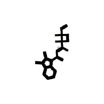 C=NC1(C)C=CC1(C)/C(C)=C/C(=C)n1c(=C)c(=C)c2ccccc21